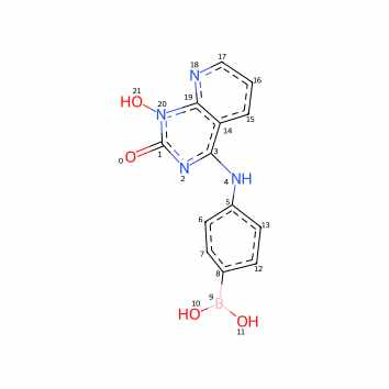 O=c1nc(Nc2ccc(B(O)O)cc2)c2cccnc2n1O